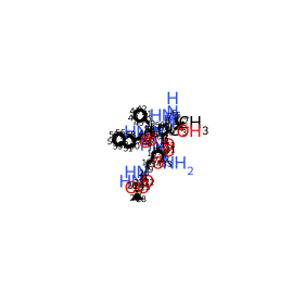 CC(C)(O)C1=CNNN1[C@H]1C[C@@H](C(=O)NC(CCCCNC(=O)NS(=O)(=O)C2CC2)C(=O)C(N)=O)N(C(=O)[C@@H](CC2CCCCC2)NC(=O)c2ccc3ccccc3c2)C1